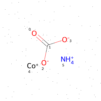 O=C([O-])[O-].[Co+].[NH4+]